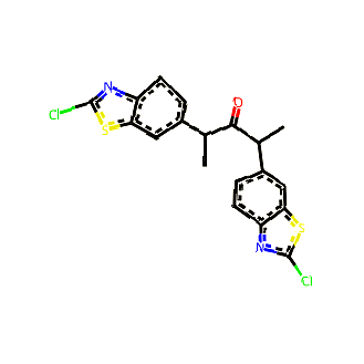 CC(C(=O)C(C)c1ccc2nc(Cl)sc2c1)c1ccc2nc(Cl)sc2c1